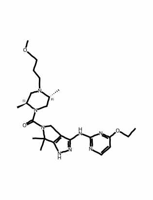 CCOc1ccnc(Nc2n[nH]c3c2CN(C(=O)N2C[C@@H](C)N(CCCOC)C[C@@H]2C)C3(C)C)n1